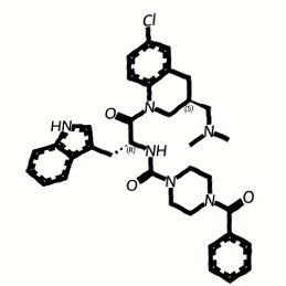 CN(C)C[C@@H]1Cc2cc(Cl)ccc2N(C(=O)[C@@H](Cc2c[nH]c3ccccc23)NC(=O)N2CCN(C(=O)c3ccccc3)CC2)C1